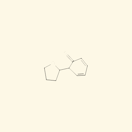 S=C1[C]=CC=CC1C1CCCO1